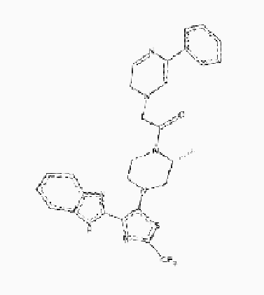 C[C@@H]1CN(c2sc(C(F)(F)F)nc2-c2nc3ccccc3[nH]2)CCN1C(=O)CN1C=C(c2ccccc2)N=CC1